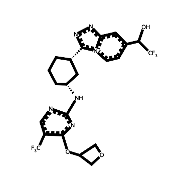 OC(c1ccn2c([C@H]3CCC[C@@H](Nc4ncc(C(F)(F)F)c(OC5COC5)n4)C3)nnc2c1)C(F)(F)F